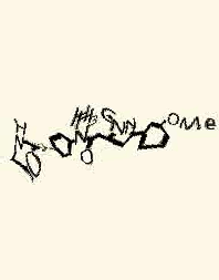 COc1cccc(-c2cc(C(=O)Nc3ccc([C@H]4CNCCO4)cc3)n(C)n2)c1